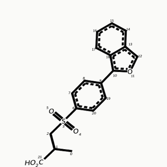 CC(CS(=O)(=O)c1ccc(-c2occ3ccccc23)cc1)C(=O)O